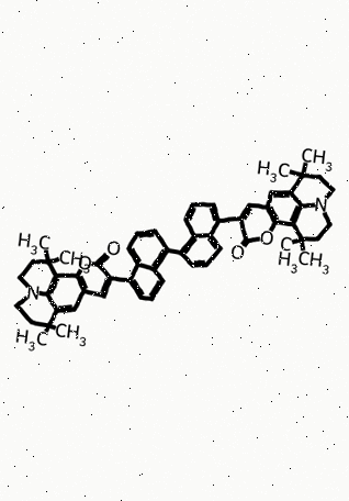 CC1(C)CCN2CCC(C)(C)c3c2c1cc1cc(-c2cccc4c(-c5cccc6c(-c7cc8cc9c%10c(c8oc7=O)C(C)(C)CCN%10CCC9(C)C)cccc56)cccc24)c(=O)oc31